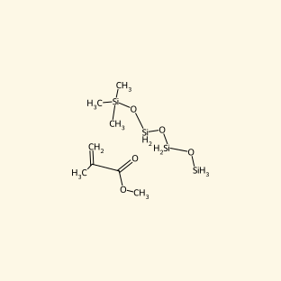 C=C(C)C(=O)OC.C[Si](C)(C)O[SiH2]O[SiH2]O[SiH3]